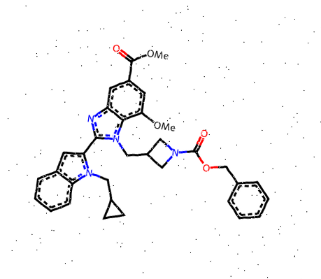 COC(=O)c1cc(OC)c2c(c1)nc(-c1cc3ccccc3n1CC1CC1)n2CC1CN(C(=O)OCc2ccccc2)C1